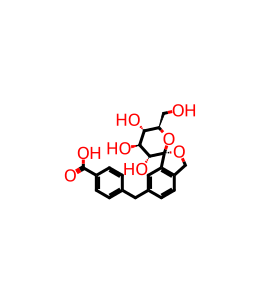 O=C(O)c1ccc(Cc2ccc3c(c2)[C@]2(OC3)O[C@H](CO)[C@@H](O)[C@H](O)[C@H]2O)cc1